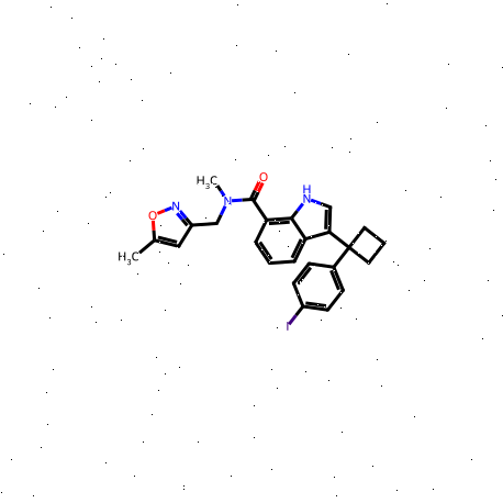 Cc1cc(CN(C)C(=O)c2cccc3c(C4(c5ccc(I)cc5)CCC4)c[nH]c23)no1